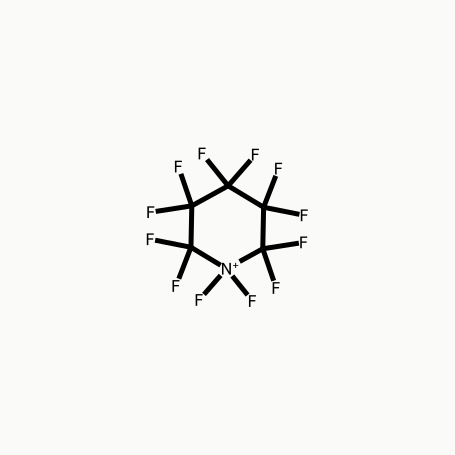 FC1(F)C(F)(F)C(F)(F)[N+](F)(F)C(F)(F)C1(F)F